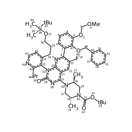 COCOc1cccc(-c2nc3c(cc2F)c(N2C[C@@H](C)N(C(=O)OC(C)(C)C)C[C@@H]2C)nc(=O)n3-c2c(CCCO[Si](C)(C)C(C)(C)C)ccnc2C(C)C)c1OCc1ccccc1